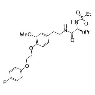 CCC[C@H](NS(=O)(=O)CC)C(=O)NCCc1ccc(OCCOc2ccc(F)cc2)c(OC)c1